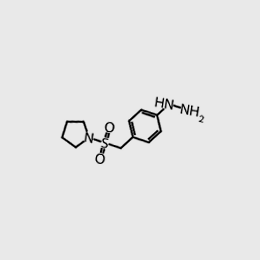 NNc1ccc(CS(=O)(=O)N2CCCC2)cc1